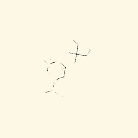 CCC(C)(CC)C[C@H](CON(O)O)ON(O)O